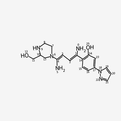 N/C(=C\C=C(/N)N1CCNC(CO)C1)c1ccc(-n2cccn2)cc1O